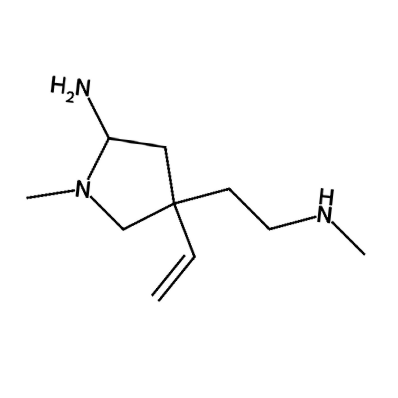 C=CC1(CCNC)CC(N)N(C)C1